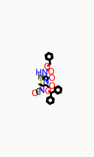 O=C=NC1=CS[C@H]2C(NC(=O)OCc3ccccc3)C(=O)N2C1C(=O)OC(c1ccccc1)c1ccccc1